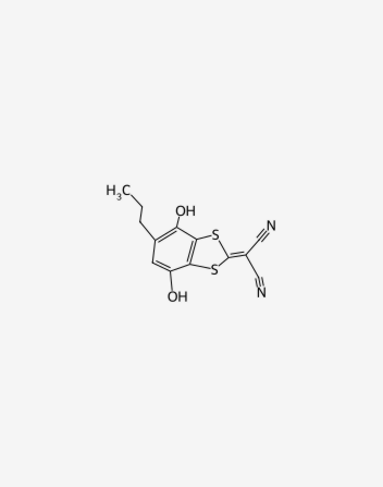 CCCc1cc(O)c2c(c1O)SC(=C(C#N)C#N)S2